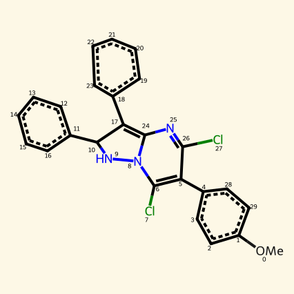 COc1ccc(C2=C(Cl)N3NC(c4ccccc4)C(c4ccccc4)=C3N=C2Cl)cc1